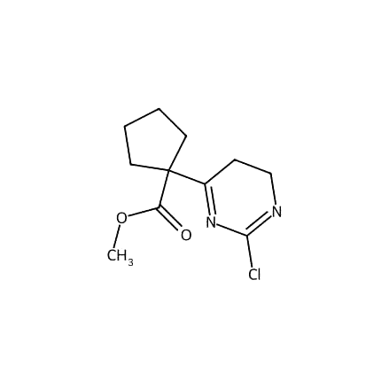 COC(=O)C1(C2=NC(Cl)=NCC2)CCCC1